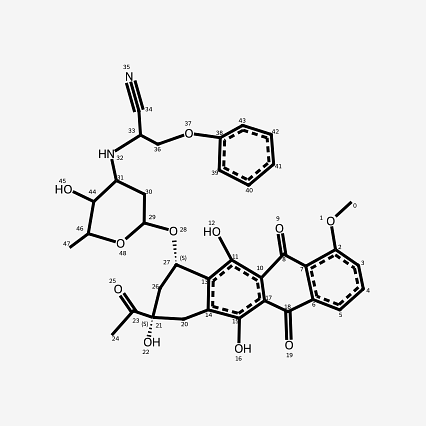 COc1cccc2c1C(=O)c1c(O)c3c(c(O)c1C2=O)C[C@@](O)(C(C)=O)C[C@@H]3OC1CC(NC(C#N)COc2ccccc2)C(O)C(C)O1